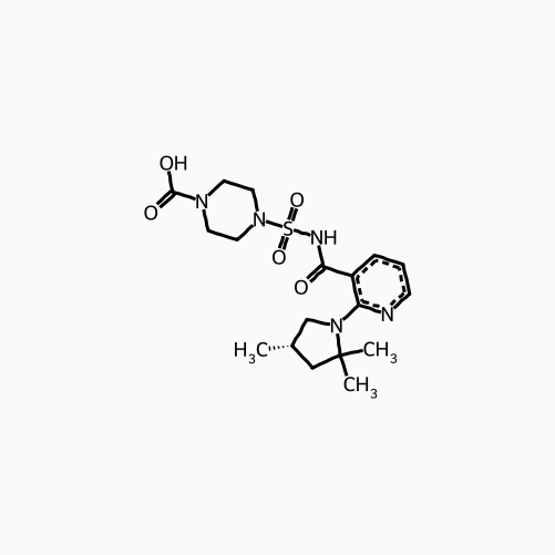 C[C@@H]1CN(c2ncccc2C(=O)NS(=O)(=O)N2CCN(C(=O)O)CC2)C(C)(C)C1